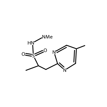 CNNS(=O)(=O)C(C)Cc1ncc(C)cn1